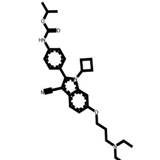 CCN(CC)CCCOc1ccc2c(C#N)c(-c3ccc(NC(=O)OC(C)C)cc3)n(C3CCC3)c2c1